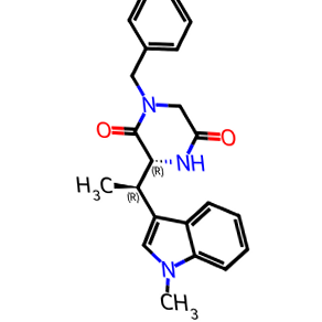 C[C@H](c1cn(C)c2ccccc12)[C@H]1NC(=O)CN(Cc2ccccc2)C1=O